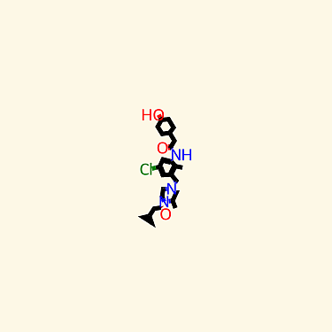 Cc1c(CN2CCN(C(=O)CC3CC3)C(C)C2)cc(Cl)cc1NC(=O)CC1CCC(O)CC1